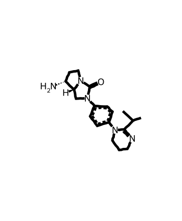 CC(C)C1=NCCCN1c1ccc(N2C[C@@H]3[C@H](N)CCN3C2=O)cc1